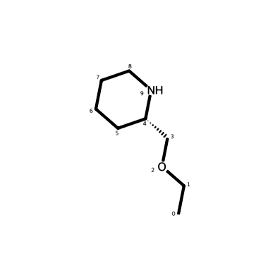 CCOC[C@@H]1CCCCN1